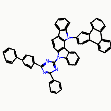 c1ccc(-c2ccc(-c3nc(-c4ccccc4)nc(-n4c5ccccc5c5c4ccc4c6ccccc6n(-c6ccc7c8ccccc8c8ccccc8c7c6)c45)n3)cc2)cc1